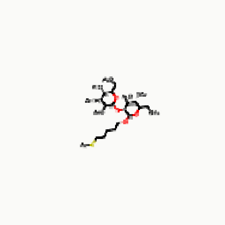 CC(=O)OCC1O[C@@H](OCCCCCSC(C)=O)C(O[C@@H]2OC(COC(C)=O)[C@@H](OC(C)=O)[C@H](OC(C)=O)C2OC(C)=O)[C@@H](OC(C)=O)[C@@H]1OC(C)=O